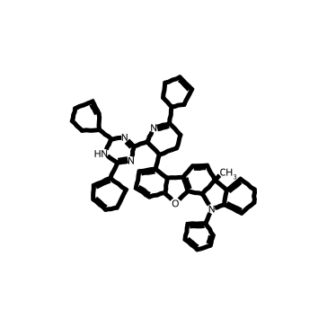 CC12C=CC3=C(OC4C=CC=C(C5CCC(C6CC=CCC6)=NC5C5=NC(C6C=CCCC6)NC(C6=CC=CCC6)=N5)C34)C1N(c1ccccc1)C1=CCCC=C12